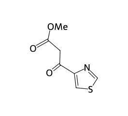 COC(=O)CC(=O)c1cscn1